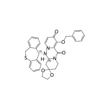 O=C1c2c(OCc3ccccc3)c(=O)ccn2N([C@H]2c3ccccc3CSc3ccccc32)[C@@H]2CC3(CCN12)OCCO3